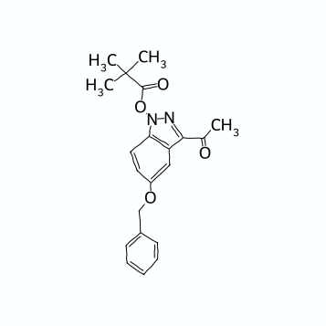 CC(=O)c1nn(OC(=O)C(C)(C)C)c2ccc(OCc3ccccc3)cc12